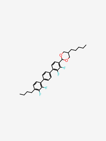 CCCCCC1COC(c2ccc(-c3ccc(-c4ccc(CCCC)c(F)c4F)cc3)c(F)c2F)OC1